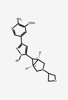 COc1cc(-c2cc(C3[C@H]4CN(C5COC5)C[C@@H]34)n(C(C)C)n2)cnc1N